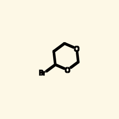 BrC1CCOCO1